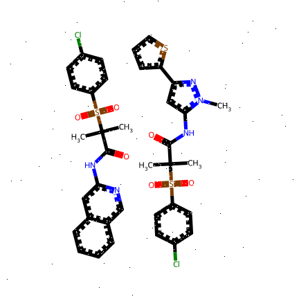 CC(C)(C(=O)Nc1cc2ccccc2cn1)S(=O)(=O)c1ccc(Cl)cc1.Cn1nc(-c2cccs2)cc1NC(=O)C(C)(C)S(=O)(=O)c1ccc(Cl)cc1